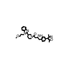 COCCCn1c(C2CCCN(C(=O)CC(N)Cc3ccc(-c4c(C)noc4C)cc3)C2)nc2ccccc21